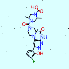 CC1CN(C(=O)N2CCN3c4cc(-c5cccc(F)c5O)nnc4NC(=O)C3(C)C2)C(C)CN1C(=O)O